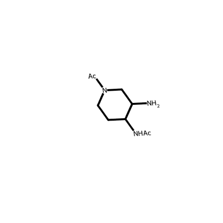 CC(=O)NC1CCN(C(C)=O)CC1N